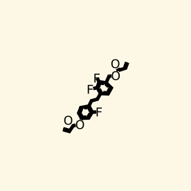 C=CC(=O)OCc1ccc(CCc2ccc(OC(=O)C=C)cc2F)c(F)c1F